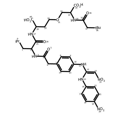 CC(C)CC(NC(=O)Cc1ccc(NC(=C[N+](=O)[O-])Nc2ccc([N+](=O)[O-])cc2)cc1)C(=O)NC(CCOCC(NC(=O)CC(C)(C)C)C(=O)O)C(=O)O